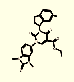 CCOC(=O)c1cn(-c2ccc3c(c2)n(C)c(=O)n3C)c(=O)n(C2CCc3ccc(C)cc32)c1=O